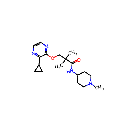 CN1CCC(NC(=O)C(C)(C)COc2nccnc2C2CC2)CC1